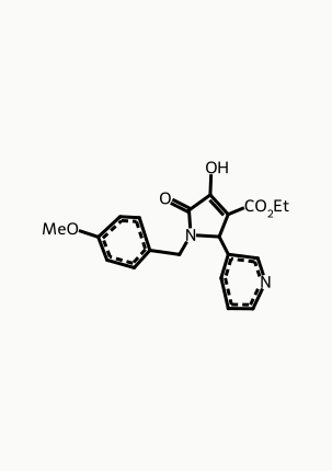 CCOC(=O)C1=C(O)C(=O)N(Cc2ccc(OC)cc2)C1c1cccnc1